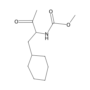 COC(=O)NC(CC1CCCCC1)C(C)=O